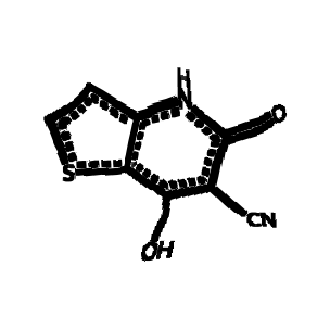 N#Cc1c(O)c2sccc2[nH]c1=O